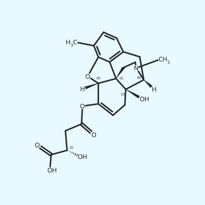 Cc1ccc2c3c1O[C@H]1C(OC(=O)C[C@H](O)C(=O)O)=CC[C@@]4(O)[C@@H](C2)N(C)CC[C@]314